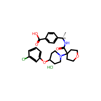 C[C@H](NC(=O)C1(N2CCC(Oc3cccc(Cl)c3)CC2)CCOCC1)c1ccc(C(=O)O)cc1.Cl